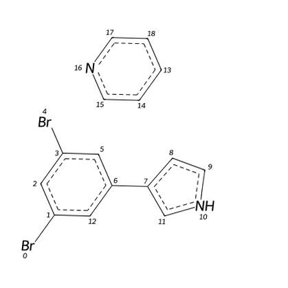 Brc1cc(Br)cc(-c2cc[nH]c2)c1.c1ccncc1